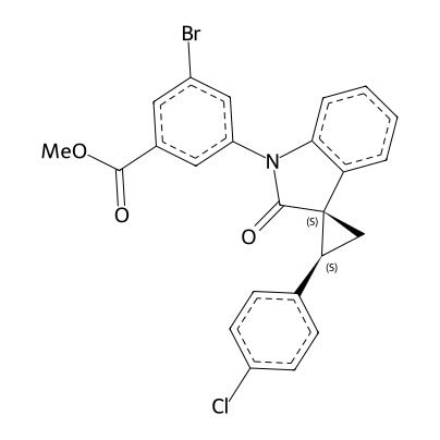 COC(=O)c1cc(Br)cc(N2C(=O)[C@]3(C[C@H]3c3ccc(Cl)cc3)c3ccccc32)c1